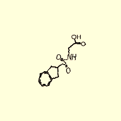 O=C(O)CNS(=O)(=O)C1Cc2ccccc2C1